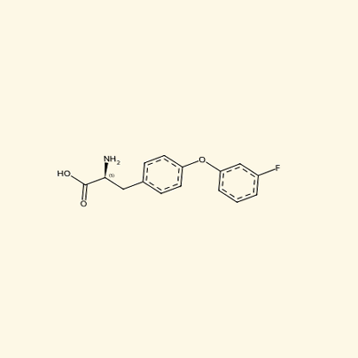 N[C@@H](Cc1ccc(Oc2cccc(F)c2)cc1)C(=O)O